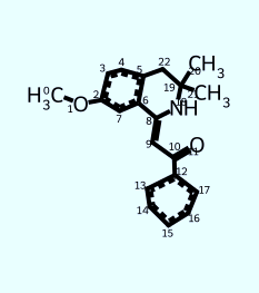 COc1ccc2c(c1)C(=CC(=O)c1ccccc1)NC(C)(C)C2